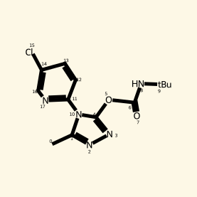 Cc1nnc(OC(=O)NC(C)(C)C)n1-c1ccc(Cl)cn1